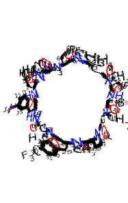 C#CC[C@@H]1NC(=O)[C@H](Cc2cccc(I)c2)NC(=O)CN(C)C(=O)[C@H](Cc2ccc(C(F)(F)F)cc2)N(C)C(=O)[C@@H]2CCN2C(=O)CN(C)C(=O)[C@H]([C@@H](C)CC)NC(=O)[C@H](CC(C)C)N(C)C(=O)C[C@@H](C)N(C)C(=O)[C@H](CC(C)C)NC(=O)C(C)(C)N(C)C1=O